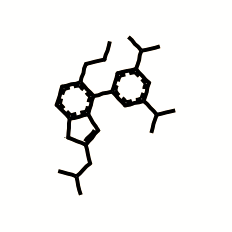 CCCc1ccc2c(c1-c1cc(C(C)C)cc(C(C)C)c1)C=C(CC(C)C)[CH]2